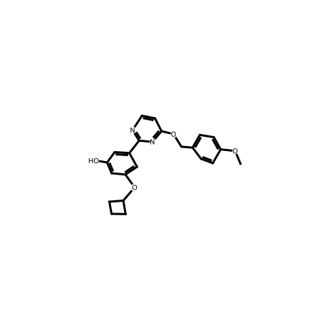 COc1ccc(COc2ccnc(-c3cc(O)cc(OC4CCC4)c3)n2)cc1